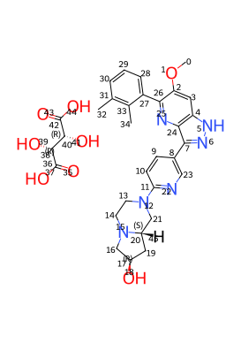 COc1cc2[nH]nc(-c3ccc(N4CCN5C[C@H](O)C[C@H]5C4)nc3)c2nc1-c1cccc(C)c1C.O=C(O)[C@H](O)[C@@H](O)C(=O)O